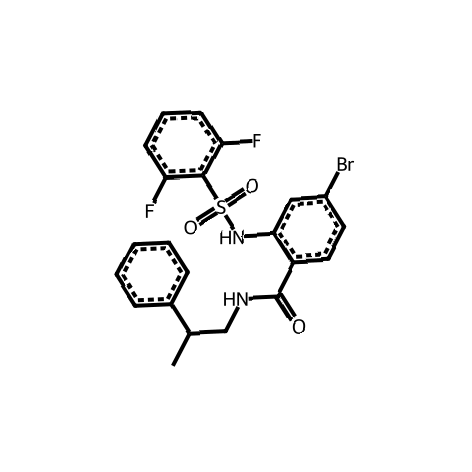 CC(CNC(=O)c1ccc(Br)cc1NS(=O)(=O)c1c(F)cccc1F)c1ccccc1